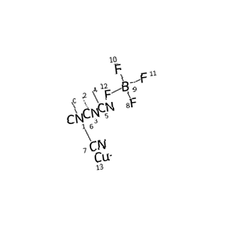 CC#N.CC#N.CC#N.CC#N.F[B-](F)(F)F.[Cu]